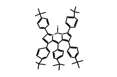 CC(C)(C)c1ccc(C2=CC(c3ccc(C(C)(C)C)cc3)=[N+]3B(F)n4c(-c5ccc(C(C)(C)C)cc5)cc(-c5ccc(C(C)(C)C)cc5)c4C(c4ccc(C(C)(C)C)cc4)=C23)cc1